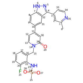 Cc1cc(-c2n[nH]c3ccc(-c4ccn(Cc5cccc(F)c5NS(C)(=O)=O)c(=O)c4)cc23)ccn1